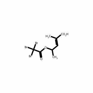 CC(=CC(C)OC(=O)C(Br)(Br)Br)C(=O)O